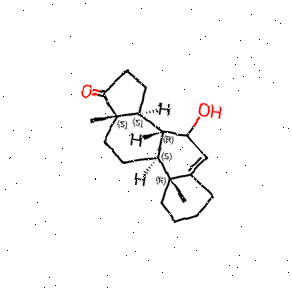 C[C@]12CCCCC1=CC(O)[C@@H]1[C@@H]2CC[C@]2(C)C(=O)CC[C@@H]12